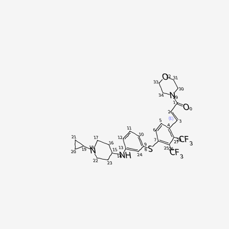 O=C(/C=C/c1ccc(Sc2cccc(NC3CCN(C4CC4)CC3)c2)c(C(F)(F)F)c1C(F)(F)F)N1CCOCC1